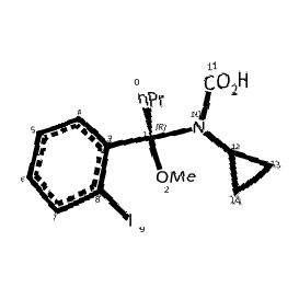 CCC[C@@](OC)(c1ccccc1I)N(C(=O)O)C1CC1